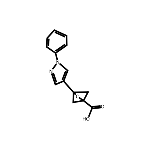 O=C(O)C12CC(c3cnn(-c4ccccc4)c3)(C1)C2